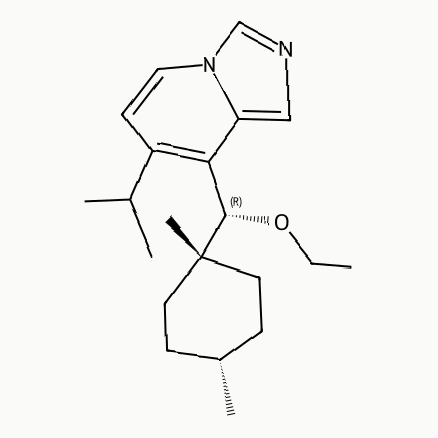 CCO[C@@H](c1c(C(C)C)ccn2cncc12)[C@]1(C)CC[C@H](C)CC1